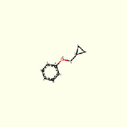 [c]1cccc(OCC2CC2)c1